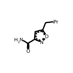 CC(C)Cc1cc(C(N)=O)no1